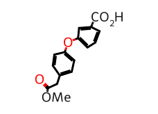 COC(=O)Cc1ccc(Oc2cccc(C(=O)O)c2)cc1